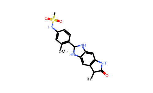 COc1cc(NS(C)(=O)=O)ccc1C1Nc2cc3c(cc2N1)C(C(C)C)C(=O)N3